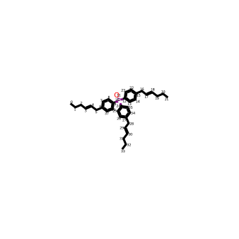 CCCC=CCc1ccc(P(=O)(c2ccc(CC=CCCC)cc2)c2ccc(CC=CCCC)cc2)cc1